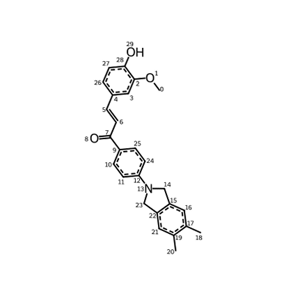 COc1cc(C=CC(=O)c2ccc(N3Cc4cc(C)c(C)cc4C3)cc2)ccc1O